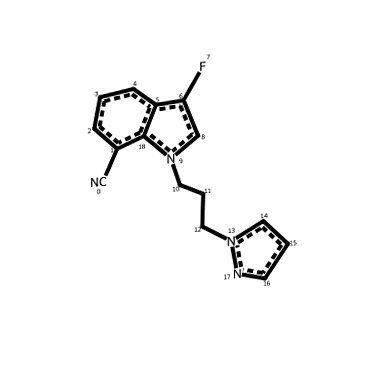 N#Cc1cccc2c(F)cn(CCCn3cccn3)c12